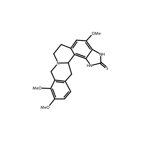 COc1ccc2c(c1OC)CN1CCc3cc(OC)c4[nH]c(=S)[nH]c4c3C1C2